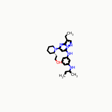 C=CC(=C)Nc1cccc(Nc2cc(N3CCCC[C@H]3CCO)nc3c(CC)cnn23)c1